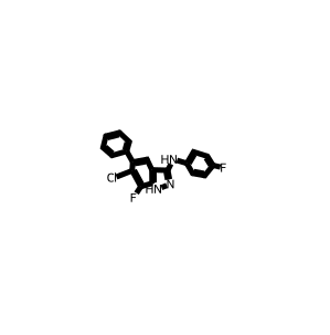 Fc1ccc(Nc2n[nH]c3c(F)c(Cl)c(-c4ccccc4)cc23)cc1